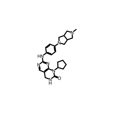 CN1CC2CN(c3ccc(Nc4ncc5c(n4)N(C4CCCC4)C(=O)NC5)cc3)CC2C1